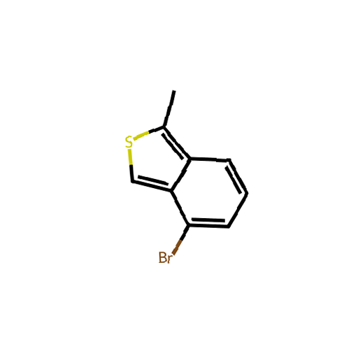 Cc1scc2c(Br)cccc12